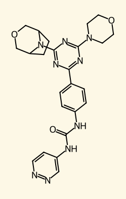 O=C(Nc1ccc(-c2nc(N3CCOCC3)nc(N3C4CCC3COC4)n2)cc1)Nc1ccnnc1